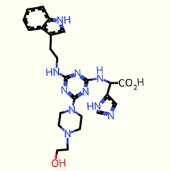 O=C(O)C(Nc1nc(NCCc2c[nH]c3ccccc23)nc(N2CCN(CCO)CC2)n1)c1cnc[nH]1